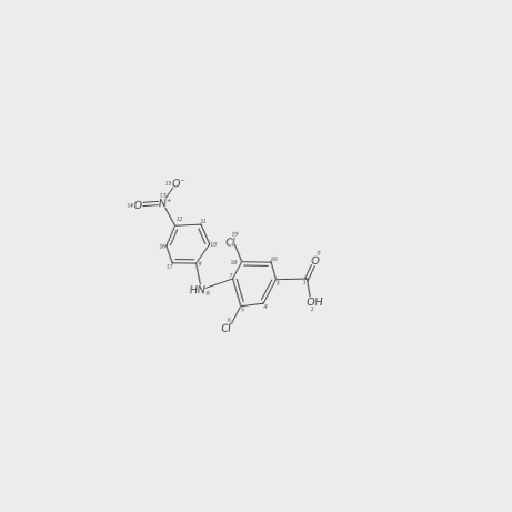 O=C(O)c1cc(Cl)c(Nc2ccc([N+](=O)[O-])cc2)c(Cl)c1